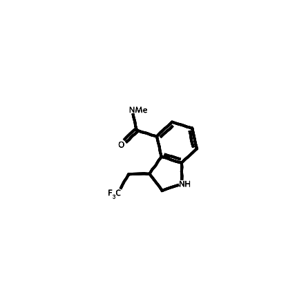 CNC(=O)c1cccc2c1C(CC(F)(F)F)CN2